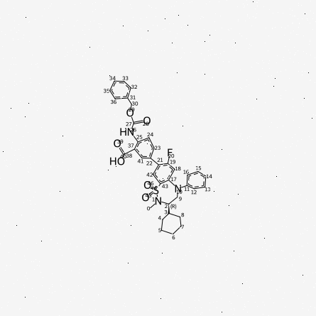 CN1[C@H](C2CCCCC2)CN(c2ccccc2)c2cc(F)c(-c3ccc(NC(=O)OCc4ccccc4)c(C(=O)O)c3)cc2S1(=O)=O